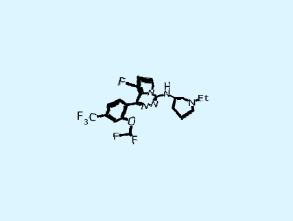 CCN1CCC[C@@H](Nc2nnc(-c3ccc(C(F)(F)F)cc3OC(F)F)c3c(F)ccn23)C1